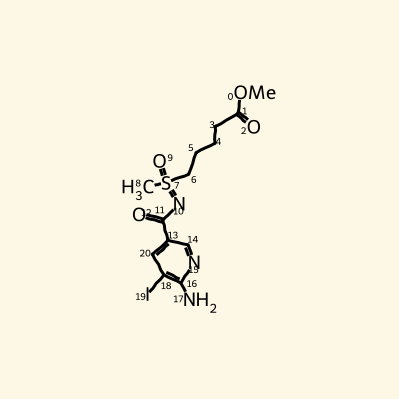 COC(=O)CCCCS(C)(=O)=NC(=O)c1cnc(N)c(I)c1